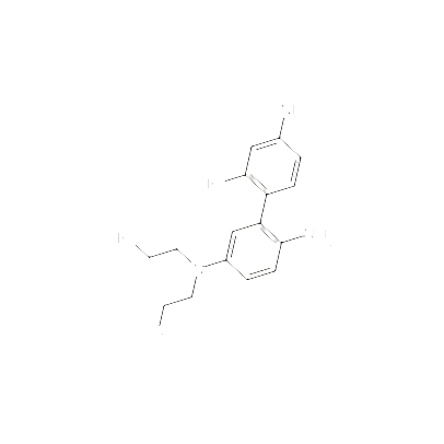 Nc1ccc(-c2cc(N(CCO)CCO)ccc2N)c(O)c1